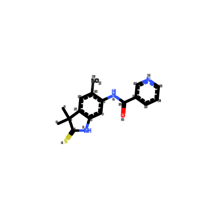 CC1(C)C(=S)Nc2cc(NC(=O)c3cccnc3)c([N+](=O)[O-])cc21